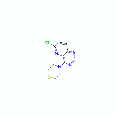 Clc1ccc2ncnc(N3CCSCC3)c2n1